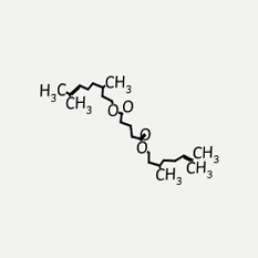 CC(C)=CCCC(C)CCOC(=O)CCCC(=O)OCCC(C)CCC=C(C)C